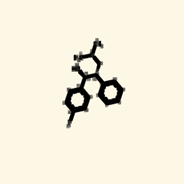 CN(C)C[C@H](c1ccccc1)[C@H](O)c1ccc(F)cc1